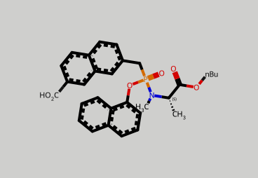 CCCCOC(=O)[C@H](C)N(C)P(=O)(Cc1ccc2ccc(C(=O)O)cc2c1)Oc1cccc2ccccc12